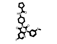 CSc1cccc(-n2c(=O)n(C3CCC(NC(=O)C4CCCC4)CC3)c(=O)c3cc(F)cnc32)c1